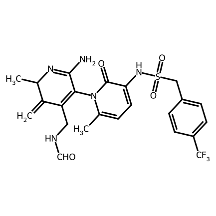 C=C1C(CNC=O)=C(n2c(C)ccc(NS(=O)(=O)Cc3ccc(C(F)(F)F)cc3)c2=O)C(N)=NC1C